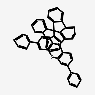 c1ccc(-c2ccc3c(c2)Sc2cc(-c4ccccc4)ccc2N3c2cccc3c2C2(c4ccccc4-c4ccccc42)c2ccccc2-3)cc1